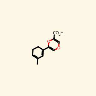 CC1=CCCC(C2=COC=C(C(=O)O)O2)=C1